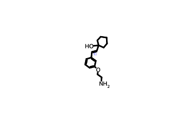 NCCOc1cccc(/C=C/C2(O)CCCCC2)c1